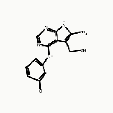 Cc1[nH]c2ncnc(Nc3cccc(Cl)c3)c2c1CO